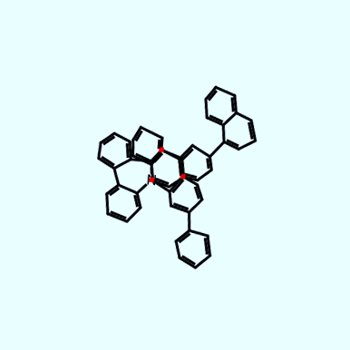 c1ccc(-c2cccc(N(c3ccccc3-c3cccc(-c4cccc5ccccc45)c3)c3ccccc3-c3ccccc3-c3ccccc3)c2)cc1